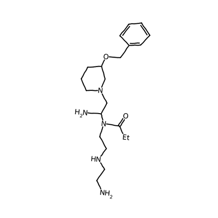 CCC(=O)N(CCNCCN)C(N)CN1CCCC(OCc2ccccc2)C1